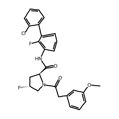 COc1cccc(CC(=O)N2C[C@H](F)C[C@H]2C(=O)Nc2cccc(-c3ccccc3Cl)c2F)c1